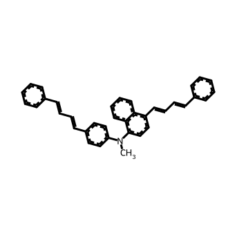 CN(c1ccc(C=CC=Cc2ccccc2)cc1)c1ccc(C=CC=Cc2ccccc2)c2ccccc12